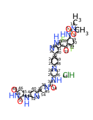 CCN(C)S(=O)(=O)Nc1ccc(F)c(C(=O)c2c[nH]c3ncc(-c4ccc(N5CCC(NCC(=O)N6CCC(c7ccc(NC8CCC(=O)NC8=O)cn7)CC6)CC5)cc4)cc23)c1F.Cl